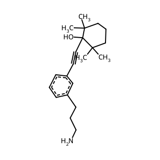 CC1(C)CCCC(C)(C)C1(O)C#Cc1cccc(CCCN)c1